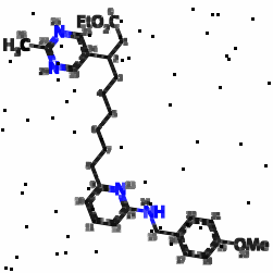 CCOC(=O)CC(CCCCCCc1cccc(NCc2ccc(OC)cc2)n1)c1cnc(C)nc1